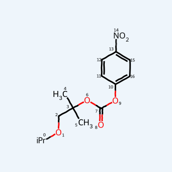 CC(C)OCC(C)(C)OC(=O)Oc1ccc([N+](=O)[O-])cc1